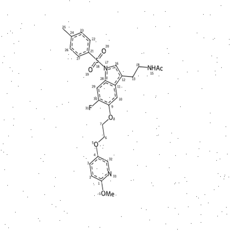 COc1ccc(OCCOc2cc3c(CCNC(C)=O)cn(S(=O)(=O)c4ccc(C)cc4)c3cc2F)cn1